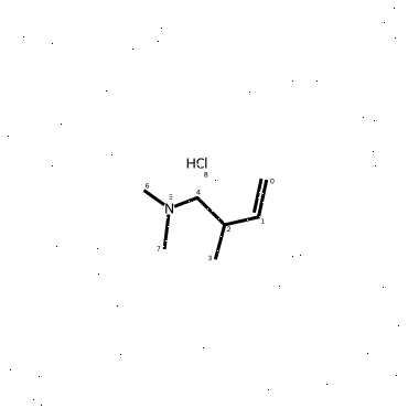 C=CC(C)CN(C)C.Cl